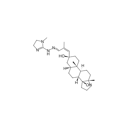 CC(C=NNC1=NCCN1C)=C[C@]1(O)CC[C@@]2(C)[C@H](CC[C@@H]3[C@@H]2CC[C@]2(C)CCC[C@]32O)C1